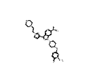 CCNc1cc2c(cn1)c(-c1ccn(CCN3CCOCC3)n1)nn2[C@H]1CC[C@@H](Oc2ccc(=O)n(C)n2)CC1